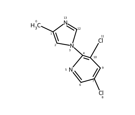 Cc1cn(-c2ncc(Cl)cc2Cl)cn1